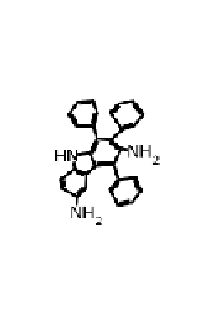 Nc1ccc2[nH]c3c(-c4ccccc4)c(-c4ccccc4)c(N)c(-c4ccccc4)c3c2c1